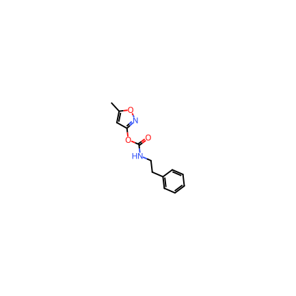 Cc1cc(OC(=O)NCCc2ccccc2)no1